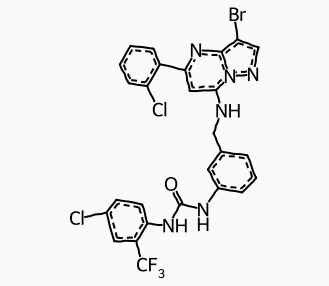 O=C(Nc1cccc(CNc2cc(-c3ccccc3Cl)nc3c(Br)cnn23)c1)Nc1ccc(Cl)cc1C(F)(F)F